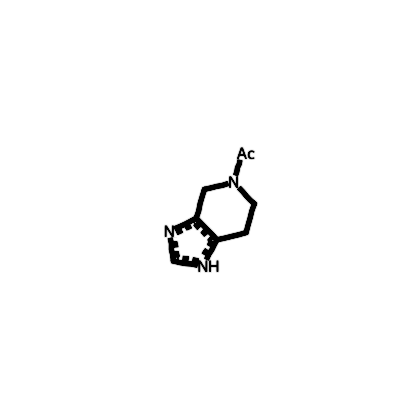 CC(=O)N1CCc2[nH]cnc2C1